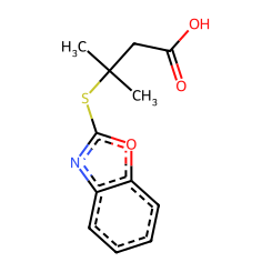 CC(C)(CC(=O)O)Sc1nc2ccccc2o1